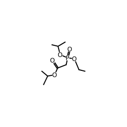 CCOP(=O)(CC(=O)OC(C)C)OC(C)C